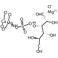 O=C[C@H](O)[C@@H](O)[C@H](O)[C@H](O)CO.O=S(=O)([O-])[O-].[Cl-].[Cl][Ca][Cl].[Cl][Mg][Cl].[Mg+2].[Na+]